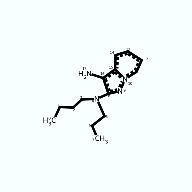 CCCCN(CCC)c1nn2ccccc2c1N